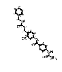 N=C(N)Nc1ccc(C(=O)Oc2ccc(CCC(=O)NCc3ccccc3)c(Cl)c2)cc1